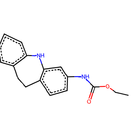 CCOC(=O)Nc1ccc2c(c1)Nc1ccccc1CC2